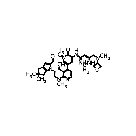 CCc1c(-c2cc(NC(=N)/C=C(/CN(C)C3COC3)NC)c(=O)n(C)c2)ccnc1N(C)CCn1c(C=O)cc2c1CC(C)(C)C2